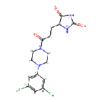 O=C1NC(=O)C(CCC(=O)N2CCN(c3cc(F)cc(F)c3)CC2)N1